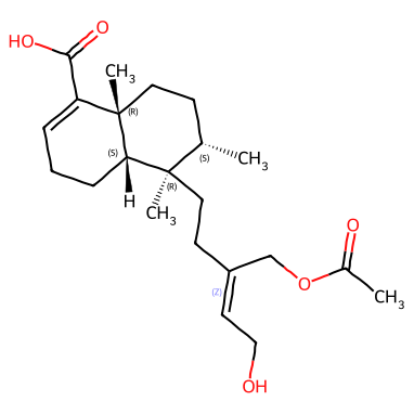 CC(=O)OC/C(=C\CO)CC[C@]1(C)[C@@H](C)CC[C@@]2(C)C(C(=O)O)=CCC[C@@H]12